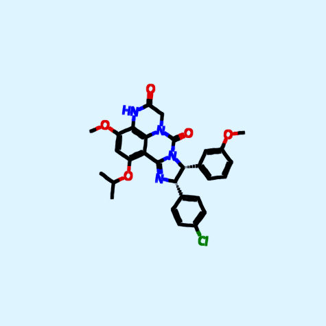 COc1cccc([C@@H]2[C@H](c3ccc(Cl)cc3)N=C3c4c(OC(C)C)cc(OC)c5c4N(CC(=O)N5)C(=O)N32)c1